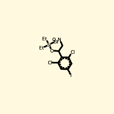 CC[Si](CC)(CC)OC(C[N+](=O)[O-])c1c(Cl)cc(I)cc1Cl